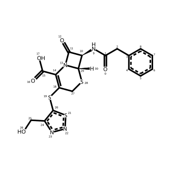 O=C(Cc1ccccc1)N[C@@H]1C(=O)N2C(C(=O)O)=C(Sc3snnc3CO)CS[C@@H]12